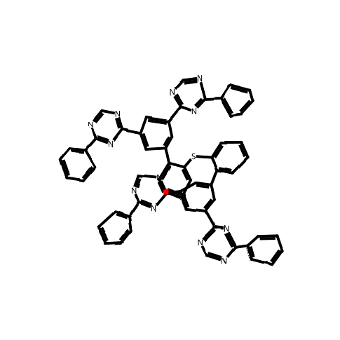 c1ccc(-c2ncnc(-c3cc(-c4ncnc(-c5ccccc5)n4)cc(-c4ccccc4Sc4ccccc4-c4cc(-c5ncnc(-c6ccccc6)n5)cc(-c5ncnc(-c6ccccc6)n5)c4)c3)n2)cc1